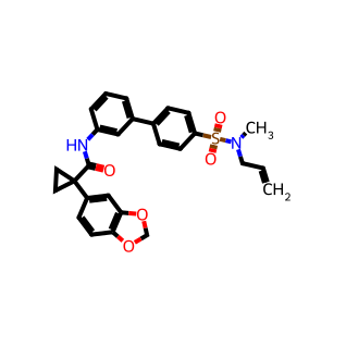 C=CCN(C)S(=O)(=O)c1ccc(-c2cccc(NC(=O)C3(c4ccc5c(c4)OCO5)CC3)c2)cc1